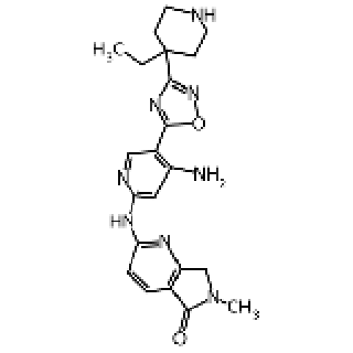 CCC1(c2noc(-c3cnc(Nc4ccc5c(n4)CN(C)C5=O)cc3N)n2)CCNCC1